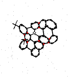 CC(C)(C)c1cc(-c2ccccc2N(c2ccccc2-c2cccc3cccc(-c4ccccc4)c23)c2ccccc2-c2cccc3cccc(-c4ccccc4)c23)cc(C(C)(C)C)c1